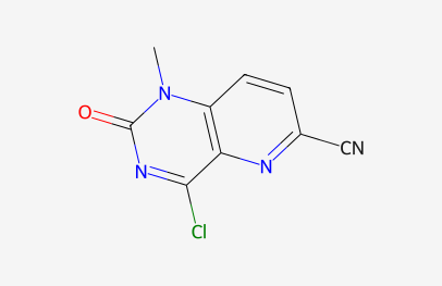 Cn1c(=O)nc(Cl)c2nc(C#N)ccc21